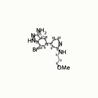 COCCCNc1cc(-c2cc(Br)c3[nH]nc(N)c3c2)ccn1